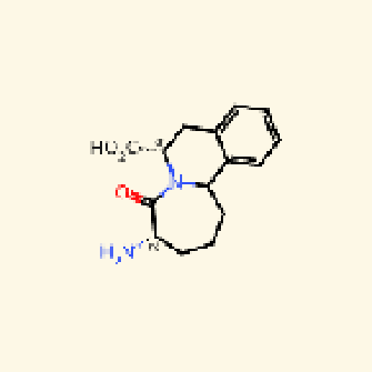 N[C@H]1CCCC2c3ccccc3C[C@@H](C(=O)O)N2C1=O